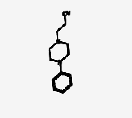 N#CCCN1CCN(c2ccccc2)CC1